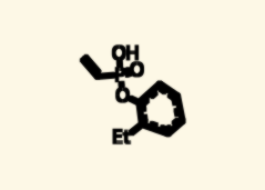 C=CP(=O)(O)Oc1ccccc1CC